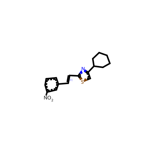 O=[N+]([O-])c1cccc(/C=C/c2nc(C3CCCCC3)cs2)c1